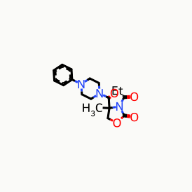 CCC(=O)N1C(=O)OCC1(C)C(=O)N1CCN(c2ccccc2)CC1